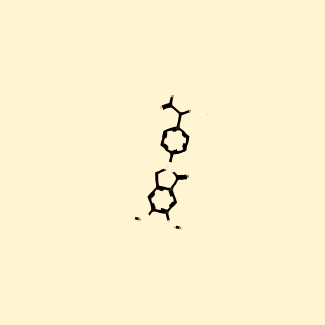 COc1cc2c(cc1OC)C(=O)N(c1ccc(C(C)C(=O)O)cc1)C2